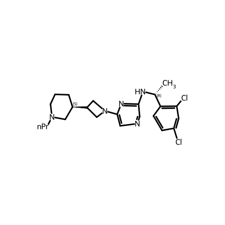 CCCN1CCC[C@@H](C2CN(c3cncc(N[C@H](C)c4ccc(Cl)cc4Cl)n3)C2)C1